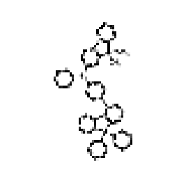 CC1(C)c2ccccc2-c2ccc(N(c3ccccc3)c3ccc(-c4cccc5c4-c4ccccc4C5(c4ccccc4)c4ccccc4)cc3)cc21